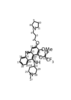 COc1c(OCCCN2CCCC2)cc2nc3ccccc3c(NC3CCN(C)CC3)c2c1OC(=O)C(F)(F)F